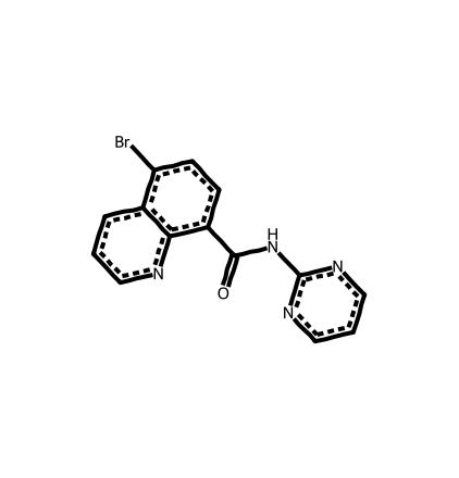 O=C(Nc1ncccn1)c1ccc(Br)c2cccnc12